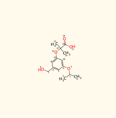 CC(C)Oc1cc(CO)cc(OC(C)(C)C(=O)O)c1